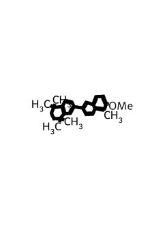 COc1ccc2cc(-c3ccc4c(c3)C(C)(C)CCC4(C)C)ccc2c1C